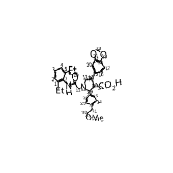 CCc1cccc(CC)c1NC(=O)CN1C[C@H](c2ccc3c(c2)OCO3)[C@H](C(=O)O)[C@H]1c1ccc(CCOC)cc1